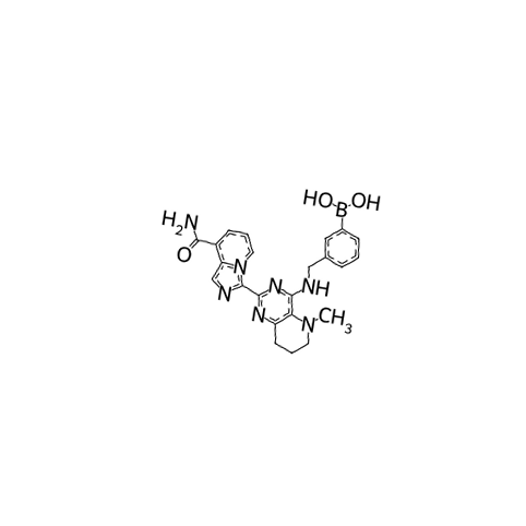 CN1CCCc2nc(-c3ncc4c(C(N)=O)cccn34)nc(NCc3cccc(B(O)O)c3)c21